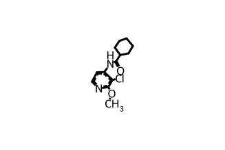 COc1nccc(NC(=O)C2CCCCC2)c1Cl